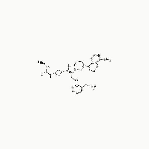 CC(C)(C)OC(=O)NC1CC(n2nc3ccc(-c4cccc5c(N)nccc45)cc3c2COc2ccccc2CC(=O)O)C1